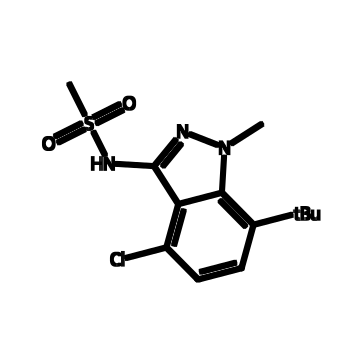 Cn1nc(NS(C)(=O)=O)c2c(Cl)ccc(C(C)(C)C)c21